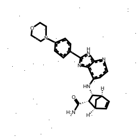 NC(=O)[C@@H]1[C@H](Nc2ccnc3[nH]c(-c4ccc(N5CCOCC5)cc4)nc23)[C@H]2C=C[C@@H]1C2